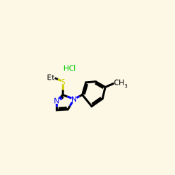 CCSc1nccn1-c1ccc(C)cc1.Cl